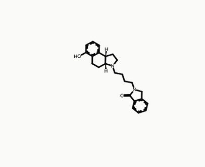 O=C1c2ccccc2CN1CCCCN1CC[C@H]2c3cccc(O)c3CC[C@H]21